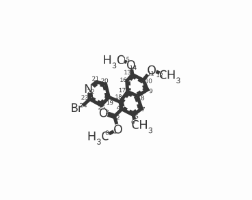 COC(=O)c1c(C)cc2cc(OC)c(OC)cc2c1-c1ccnc(Br)c1